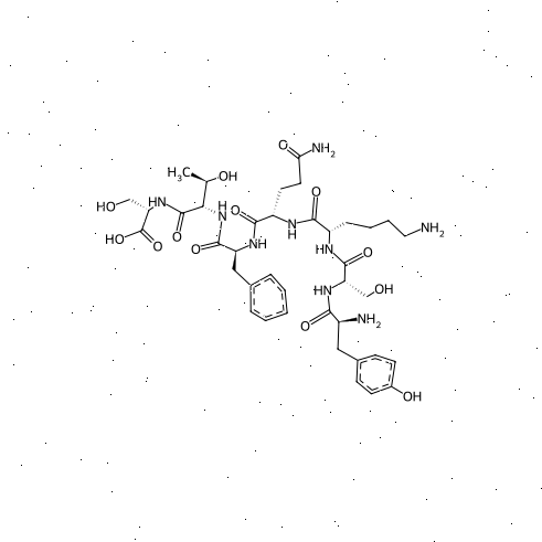 C[C@@H](O)[C@H](NC(=O)[C@H](Cc1ccccc1)NC(=O)[C@H](CCC(N)=O)NC(=O)[C@H](CCCCN)NC(=O)[C@H](CO)NC(=O)[C@@H](N)Cc1ccc(O)cc1)C(=O)N[C@@H](CO)C(=O)O